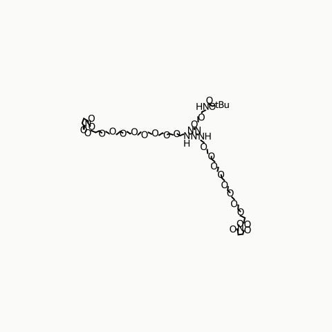 CC(C)(C)OC(=O)NCCOCCOc1nc(NCCOCCOCCOCCOCCOCCOCCOCCOCCC(=O)ON2C(=O)CCC2=O)nc(NCCOCCOCCOCCOCCOCCOCCOCCOCCC(=O)ON2C(=O)CCC2=O)n1